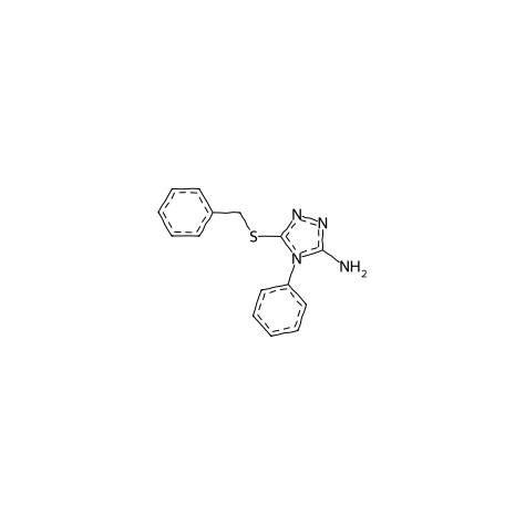 Nc1nnc(SCc2ccccc2)n1-c1ccccc1